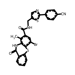 Cc1c(C(=O)NCc2cnc(-c3ccc(C#N)cc3)s2)cc(Br)c2c1NC(=O)c1ccccc1S2